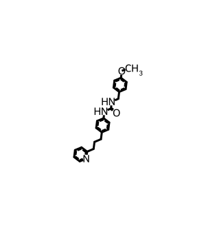 COc1ccc(CNC(=O)Nc2ccc(CCCc3ccccn3)cc2)cc1